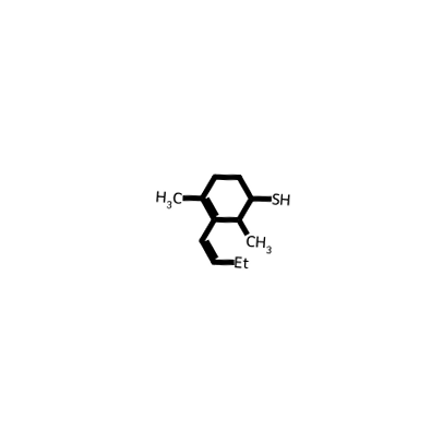 CC/C=C\C1=C(C)CCC(S)C1C